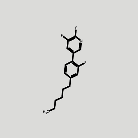 CCCCCCc1ccc(-c2cnc(F)c(F)c2)c(F)c1